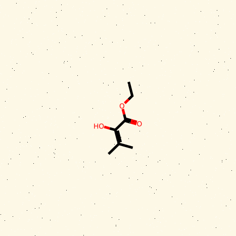 CCOC(=O)C(O)=C(C)C